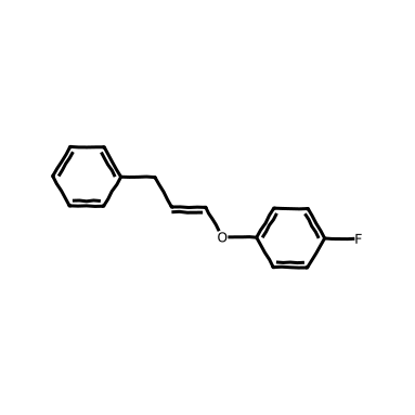 Fc1ccc(OC=CCc2ccccc2)cc1